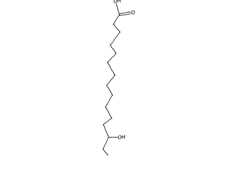 CCC(O)CCCCCCCCCCCC(=O)O